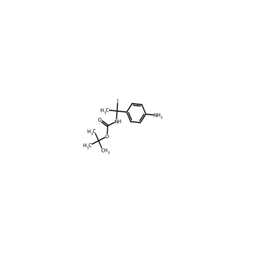 CC(C)(C)OC(=O)NC(C)(I)c1ccc(N)cc1